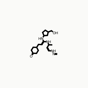 C=NN/C=C\C(C)N/C(=C/CC1CCC(=O)CC1)NC1CCC(CO)C1